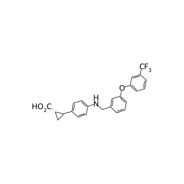 O=C(O)[C@H]1CC1c1ccc(NCc2cccc(Oc3cccc(C(F)(F)F)c3)c2)cc1